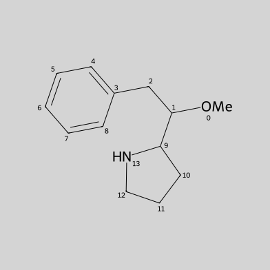 COC(Cc1ccccc1)C1CCCN1